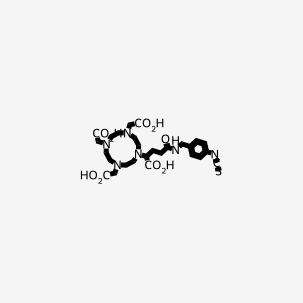 O=C(O)CN1CCN(CC(=O)O)CCN(C(CCC(=O)NCc2ccc(N=C=S)cc2)C(=O)O)CCN(CC(=O)O)CC1